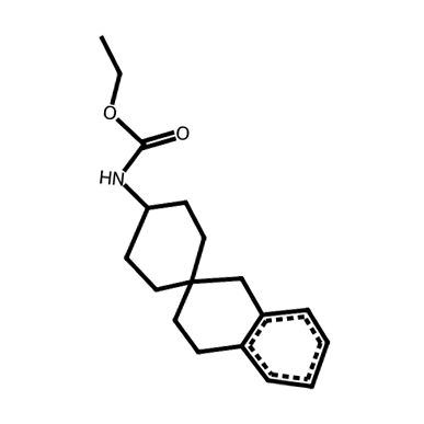 CCOC(=O)NC1CCC2(CCc3ccccc3C2)CC1